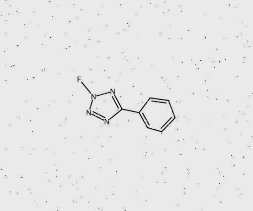 Fn1nnc(-c2c[c]ccc2)n1